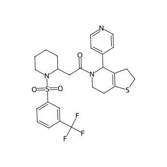 O=C(CC1CCCCN1S(=O)(=O)c1cccc(C(F)(F)F)c1)N1CCC2=C(CCS2)C1c1ccncc1